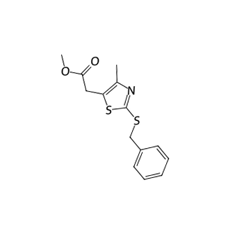 COC(=O)Cc1sc(SCc2ccccc2)nc1C